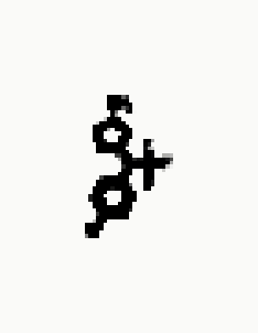 N[C@H]1CCN(C(c2ccc(Cl)nc2)C(F)(F)F)C1